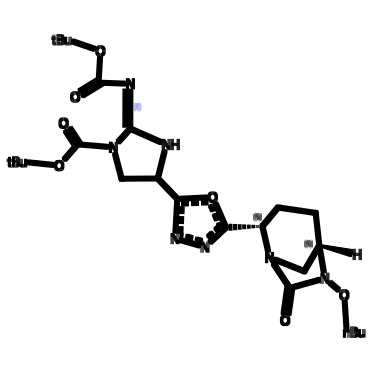 CCCCON1C(=O)N2C[C@@H]1CC[C@H]2c1nnc(C2CN(C(=O)OC(C)(C)C)/C(=N\C(=O)OC(C)(C)C)N2)o1